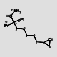 CC(C)C(CCCCCC1CO1)(O[SiH3])C(C)C